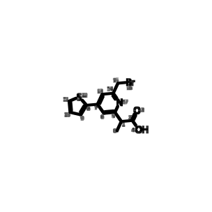 CC(C(=O)O)c1cc(-c2cccs2)cc(CBr)n1